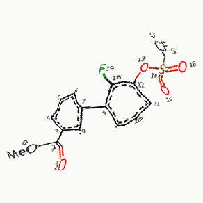 COC(=O)c1cccc(-c2cccc(OS(=O)(=O)C(F)(F)F)c2F)c1